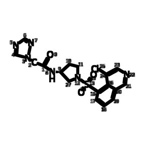 O=C(Cn1cncn1)N[C@@H]1CCN(S(=O)(=O)c2cccc3cncc(Cl)c23)C1